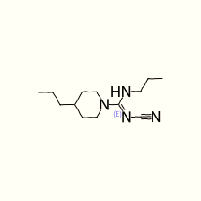 CCCN/C(=N\C#N)N1CCC(CCC)CC1